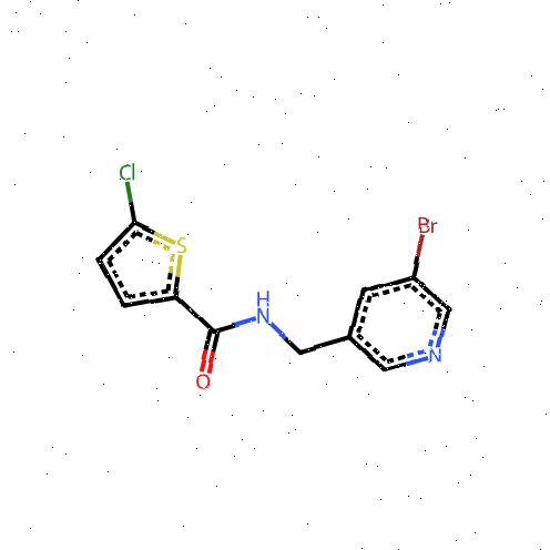 O=C(NCc1cncc(Br)c1)c1ccc(Cl)s1